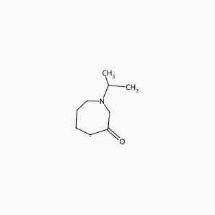 CC(C)N1CCC[CH]C(=O)C1